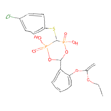 C=C(OCC)Oc1ccccc1C1OP(=O)(O)C(Sc2ccc(Cl)cc2)P(=O)(O)O1